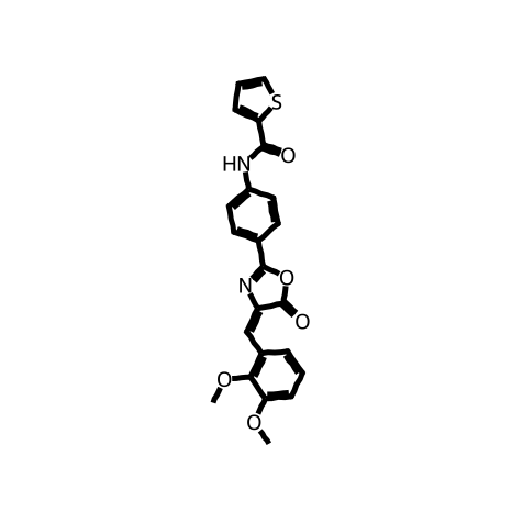 COc1cccc(C=C2N=C(c3ccc(NC(=O)c4cccs4)cc3)OC2=O)c1OC